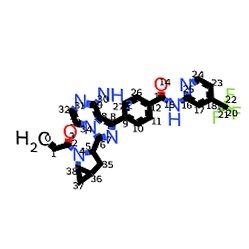 C=CC(=O)N1C(c2nc(-c3ccc(C(=O)Nc4cc(C(F)(F)F)ccn4)cc3)c3c(N)nccn23)CC2CC21